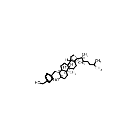 CC(C)CCC[C@@H](C)[C@H]1CC[C@H]2[C@@H]3CCC4[C@H](Cc5ccc(CO)cc5)[C@H](O)CC[C@]4(C)[C@H]3CC[C@]12C